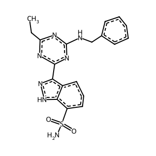 CCc1nc(NCc2ccccc2)nc(-c2n[nH]c3c(S(N)(=O)=O)cccc23)n1